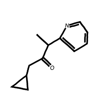 CC(C(=O)CC1CC1)c1ccccn1